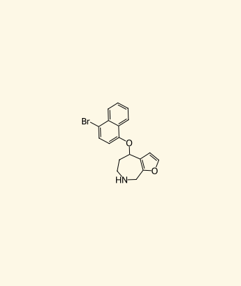 Brc1ccc(OC2CCNCc3occc32)c2ccccc12